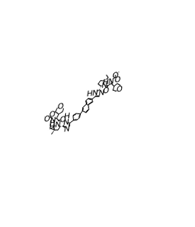 CC[C@@H]1CC[C@@H](c2ncc(-c3ccc4cc(-c5ccc(-c6cnc([C@@H]7C[C@]8(C)C[C@@H]8N7C(=O)C(NC(=O)OC)C7CCOCC7)[nH]6)cc5)ccc4c3)[nH]2)N1C(=O)[C@@H](NC(=O)OC)C1CCOCC1